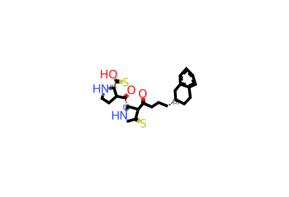 O=C(CCC[C@H]1CCc2ccccc2C1)C1C(=S)CN[C@@H]1C(=O)C1CCN[C@@H]1C(O)=S